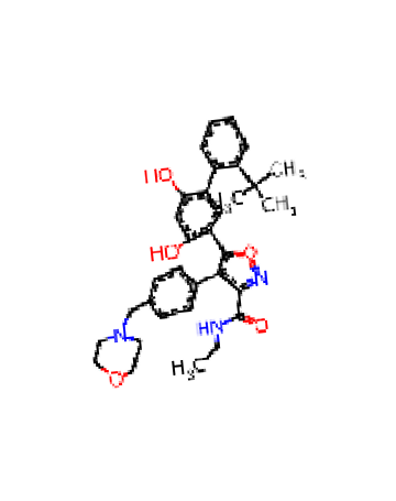 CCNC(=O)c1noc(-c2cc(-c3ccccc3C(C)(C)C)c(O)cc2O)c1-c1ccc(CN2CCOCC2)cc1